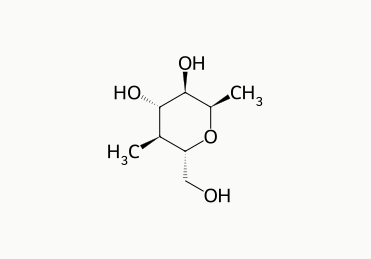 C[C@H]1[C@H](O)[C@@H](O)[C@@H](C)O[C@@H]1CO